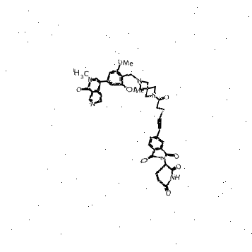 COc1cc(-c2cn(C)c(=O)c3cnccc23)cc(OC)c1CN1CC2(C1)CN(C(=O)CCC#Cc1ccc3c(c1)C(=O)N(C1CCC(=O)NC1=O)C3=O)C2